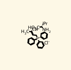 C/C(C#N)=C/C[P+](c1ccccc1)(c1ccccc1)c1ccccc1.CC(C)[C@H](N)C(=O)O.[Cl-]